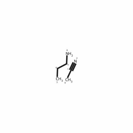 CC#N.CCCN